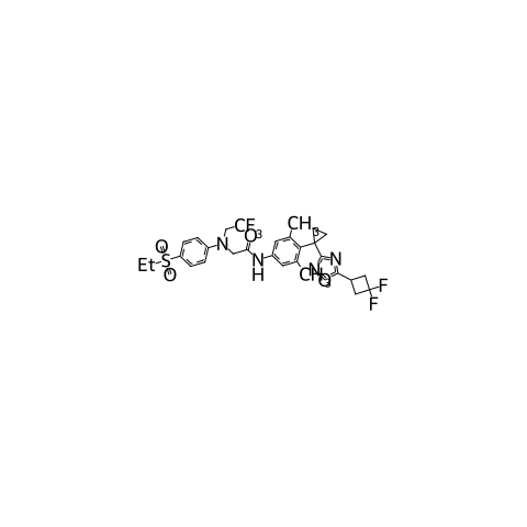 CCS(=O)(=O)c1ccc(N(CC(=O)Nc2cc(C)c(C3(c4noc(C5CC(F)(F)C5)n4)CC3)c(C)c2)CC(F)(F)F)cc1